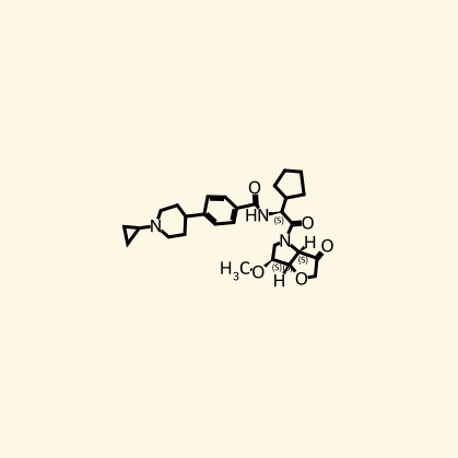 CO[C@H]1CN(C(=O)[C@@H](NC(=O)c2ccc(C3CCN(C4CC4)CC3)cc2)C2CCCC2)[C@@H]2C(=O)CO[C@H]12